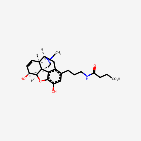 CN1CC[C@]23c4c5c(CCCNC(=O)CCC(=O)O)cc(O)c4O[C@H]2[C@@H](O)C=C[C@H]3[C@H]1C5